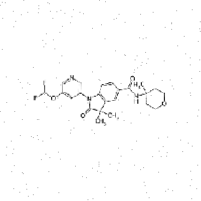 CC1(NC(=O)c2ccc3c(c2)C(C)(C)C(=O)N3c2cncc(OC(F)F)c2)CCOCC1